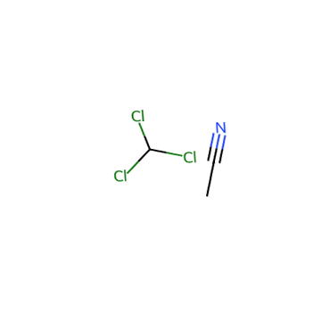 CC#N.ClC(Cl)Cl